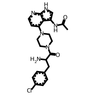 CC(=O)Nc1c[nH]c2nccc(N3CCN(C(=O)C(N)Cc4ccc(Cl)cc4)CC3)c12